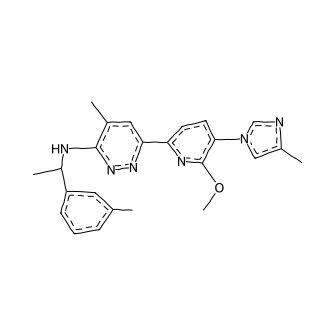 COc1nc(-c2cc(C)c(NC(C)c3cccc(C)c3)nn2)ccc1-n1cnc(C)c1